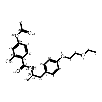 CCOCCOc1ccc(C[C@@H](C)NC(=O)c2ccc(OC(C)=O)cc2Cl)cc1